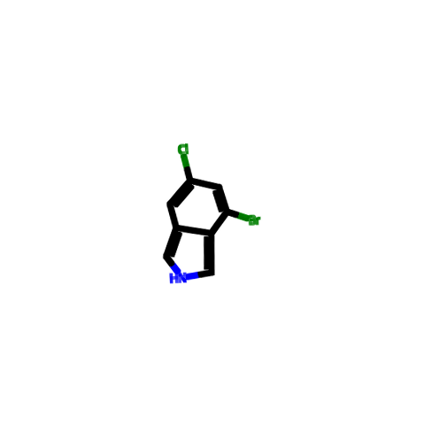 Clc1cc(Br)c2c[nH]cc2c1